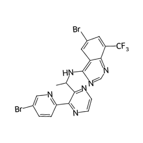 CC(Nc1ncnc2c(C(F)(F)F)cc(Br)cc12)c1nccnc1-c1ccc(Br)cn1